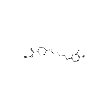 CC(C)(C)OC(=O)N1CCC(OCCCCSc2ccc(F)c(Cl)c2)CC1